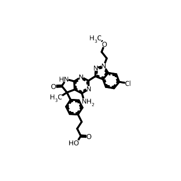 COCCn1nc(-c2nc(N)c3c(n2)NC(=O)C3(C)c2ccc(CCC(=O)O)cc2)c2ccc(Cl)cc21